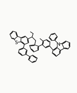 CCC(Cc1ccccc1-c1cc(-c2cccc3c4ccccc4n(-c4ccccc4)c23)ccc1C)c1cc(-c2cccc(-c3ccccc3)c2)c2sc3ccccc3c2c1